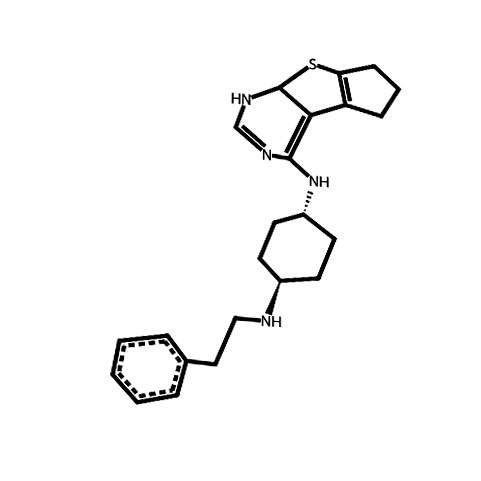 C1=NC(N[C@H]2CC[C@H](NCCc3ccccc3)CC2)=C2C3=C(CCC3)SC2N1